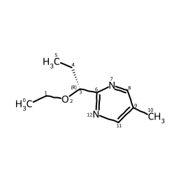 CCO[C@H](CC)c1ncc(C)cn1